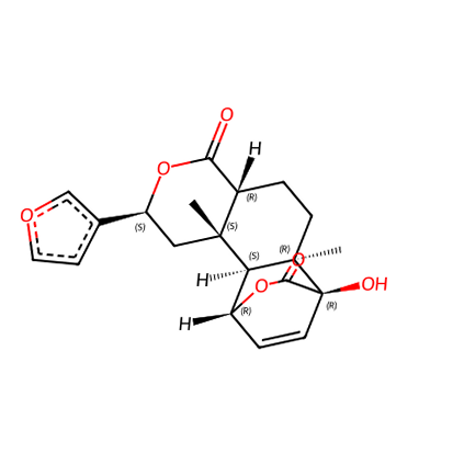 C[C@@]12C[C@@H](c3ccoc3)OC(=O)[C@@H]1CC[C@]1(C)[C@H]2[C@H]2C=C[C@]1(O)C(=O)O2